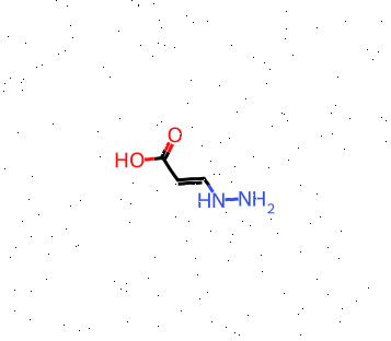 NNC=CC(=O)O